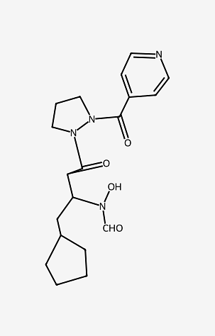 O=CN(O)C(CC(=O)N1CCCN1C(=O)c1ccncc1)CC1CCCC1